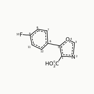 O=C(O)c1ncoc1-c1ccc(F)cc1